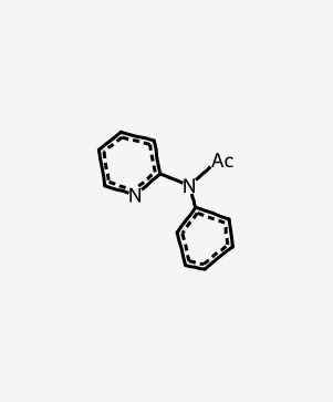 CC(=O)N(c1ccccc1)c1ccccn1